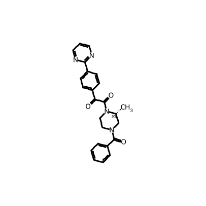 C[C@@H]1CN(C(=O)c2ccccc2)CCN1C(=O)C(=O)c1ccc(-c2ncccn2)cc1